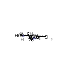 CCCCCCc1ccc(/C=C(\C)C(=O)c2c(O)cc(C(C)CC/C=C/NC(=O)O)oc2=O)cc1